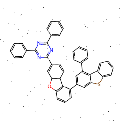 C1=CC2c3c(cccc3-c3cc(-c4ccccc4)c4c(c3)sc3ccccc34)OC2C=C1c1nc(-c2ccccc2)nc(-c2ccccc2)n1